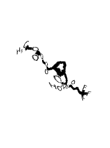 CCOC(=O)OCOC(=O)c1cccc2c1OB(O)[C@@H](NC(=O)CCCC(F)(F)F)C2